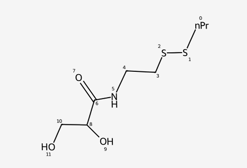 CCCSSCCNC(=O)C(O)CO